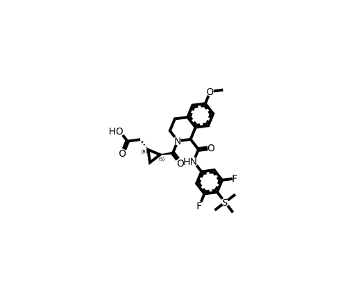 COc1ccc2c(c1)CCN(C(=O)[C@H]1C[C@@H]1CC(=O)O)C2C(=O)Nc1cc(F)c(S(C)(C)C)c(F)c1